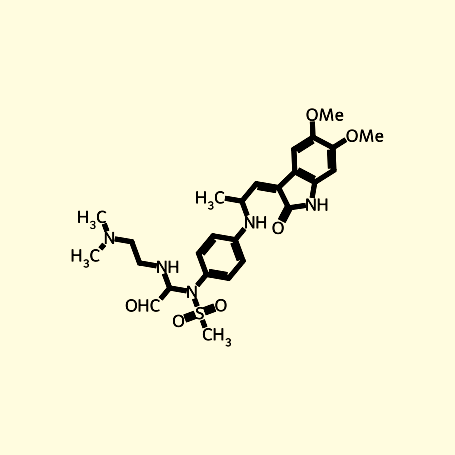 COc1cc2c(cc1OC)C(=CC(C)Nc1ccc(N(C(C=O)NCCN(C)C)S(C)(=O)=O)cc1)C(=O)N2